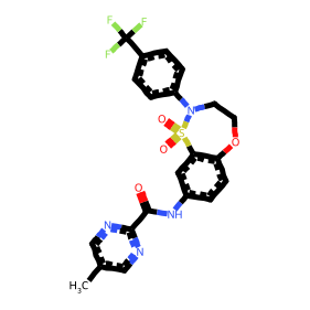 Cc1cnc(C(=O)Nc2ccc3c(c2)S(=O)(=O)N(c2ccc(C(F)(F)F)cc2)CCO3)nc1